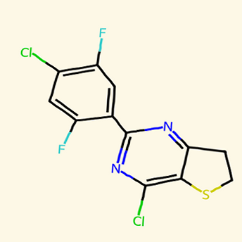 Fc1cc(-c2nc(Cl)c3c(n2)CCS3)c(F)cc1Cl